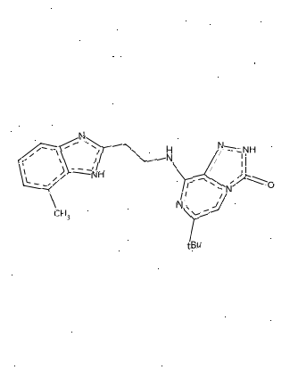 Cc1cccc2nc(CCNc3nc(C(C)(C)C)cn4c(=O)[nH]nc34)[nH]c12